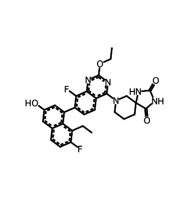 CCOc1nc(N2CCCC3(C2)NC(=O)NC3=O)c2ccc(-c3cc(O)cc4ccc(F)c(CC)c34)c(F)c2n1